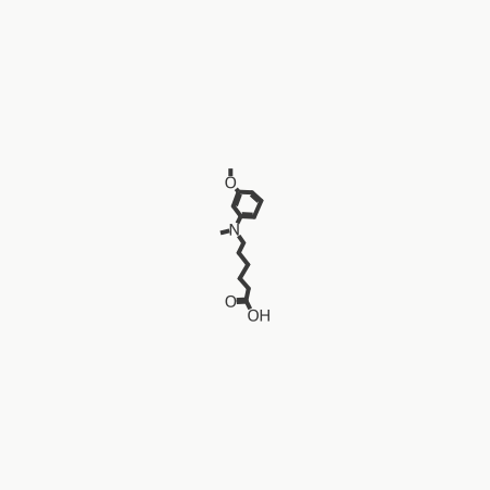 COc1cccc(N(C)CCCCCC(=O)O)c1